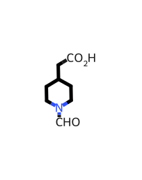 O=CN1CCC(CC(=O)O)CC1